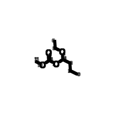 CCCC(OCC)OC(=O)OC